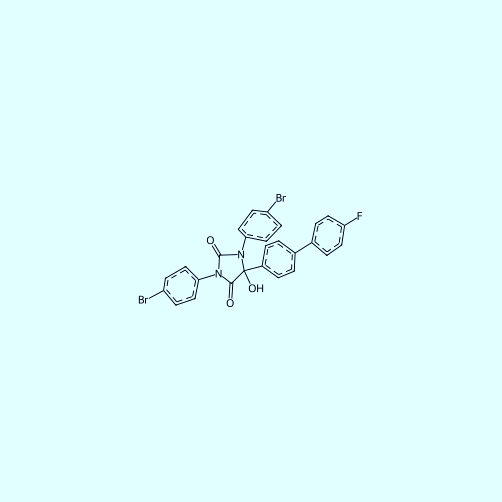 O=C1N(c2ccc(Br)cc2)C(=O)C(O)(c2ccc(-c3ccc(F)cc3)cc2)N1c1ccc(Br)cc1